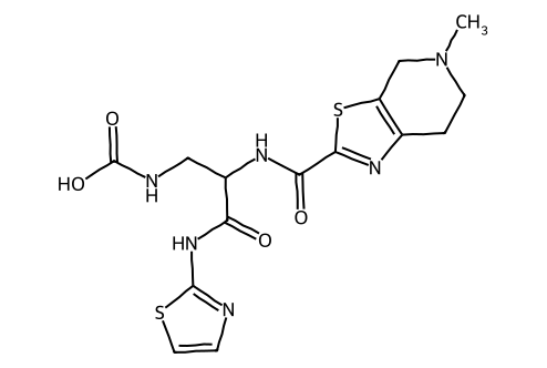 CN1CCc2nc(C(=O)NC(CNC(=O)O)C(=O)Nc3nccs3)sc2C1